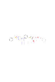 Cc1c(-c2cccc(NC3CCN(S(=O)(=O)Cc4ccccc4)CC3)c2)sc(C(=O)O)c1OCC(=O)OCC1CCCCC1